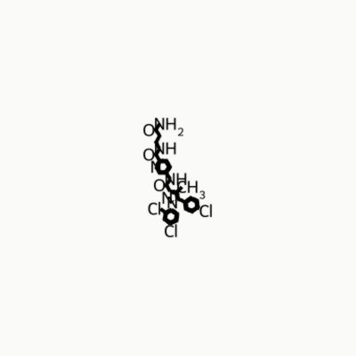 Cc1c(C(=O)Nc2ccc(C(=O)NCCC(N)=O)nc2)nn(-c2ccc(Cl)cc2Cl)c1-c1ccc(Cl)cc1